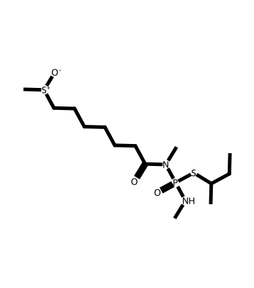 CCC(C)SP(=O)(NC)N(C)C(=O)CCCCCC[S+](C)[O-]